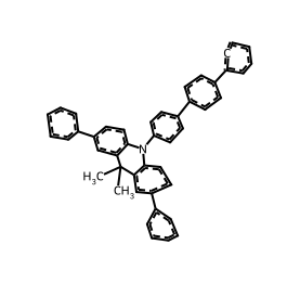 CC1(C)c2cc(-c3ccccc3)ccc2N(c2ccc(-c3ccc(-c4ccccc4)cc3)cc2)c2ccc(-c3ccccc3)cc21